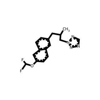 CC(Cc1ccc2cc(OC(F)F)ccc2c1)Cn1ncnn1